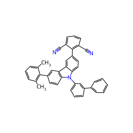 Cc1cccc(C)c1-c1ccc2c(c1)c1cc(-c3c(C#N)cccc3C#N)ccc1n2-c1cccc(-c2ccccc2)c1